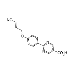 N#CC=CCOc1ccc(-c2ncc(C(=O)O)cn2)cc1